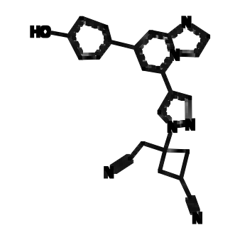 N#CCC1(n2cc(-c3cc(-c4ccc(O)cc4)cc4nccn34)cn2)CC(C#N)C1